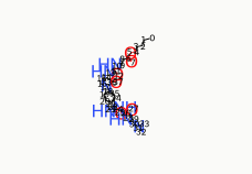 CCCCCOC(=O)CCNC(=O)N[C@H]1CCN(c2ccc(C(=N)NOC(=O)NCCN(C)C)cc2)C1=O